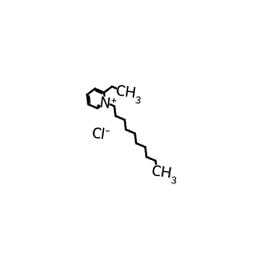 CCCCCCCCCC[n+]1ccccc1CC.[Cl-]